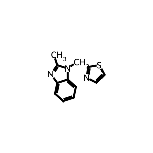 Cc1nc2ccccc2n1C.c1cscn1